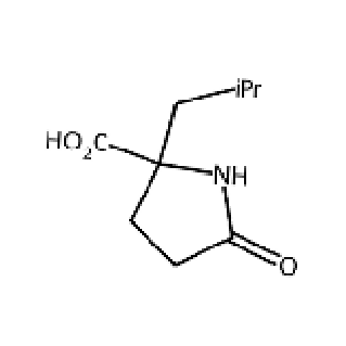 CC(C)CC1(C(=O)O)CCC(=O)N1